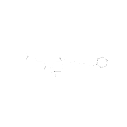 COC(=O)CCNC(=O)[C@@H]1OP(=O)(OCCCOCc2ccccc2)OCC1(C)C